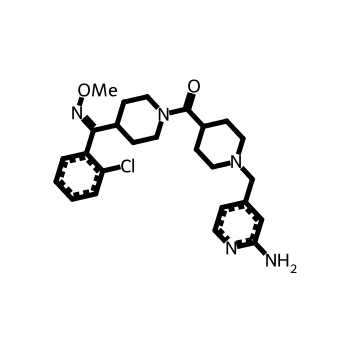 CON=C(c1ccccc1Cl)C1CCN(C(=O)C2CCN(Cc3ccnc(N)c3)CC2)CC1